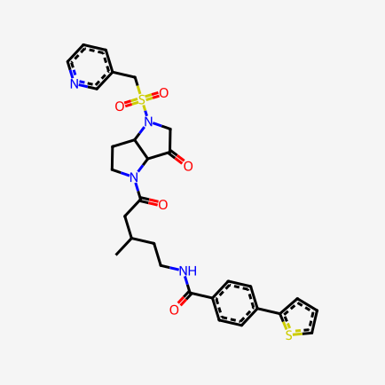 CC(CCNC(=O)c1ccc(-c2cccs2)cc1)CC(=O)N1CCC2C1C(=O)CN2S(=O)(=O)Cc1cccnc1